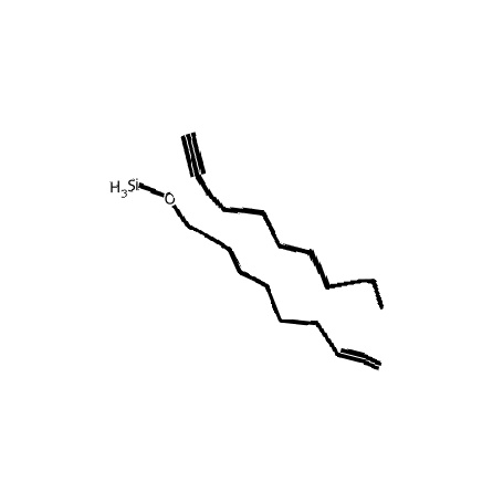 C#CCCCCCCC.C=CCCCCCCO[SiH3]